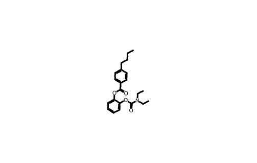 CCCCc1ccc(C(=O)Oc2ccccc2OC(=O)N(CC)CC)cc1